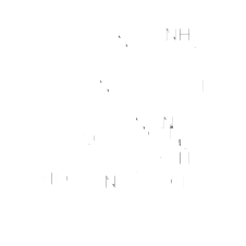 CC(C)(C)C1(Cn2nc(I)c3c(N)ncnc32)CCCN1C(=O)O